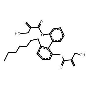 C=C(CO)C(=O)Oc1ccccc1-c1c(CCCCCCC)cccc1OC(=O)C(=C)CO